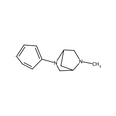 CN1CC2CC1CN2c1cc[c]cc1